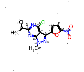 CC(C)c1nc(Cl)c2c(-c3ccc([N+](=O)[O-])o3)nn(C)c2n1